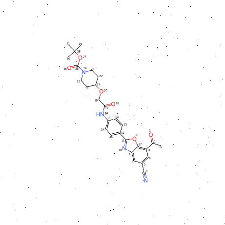 CC(=O)c1cc(C#N)cc2nc(-c3ccc(NC(=O)COC4CCN(C(=O)OC(C)(C)C)CC4)cc3)oc12